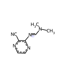 CN(C)/C=N/c1nccnc1C#N